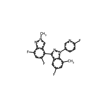 Cc1cc(F)cc2c(-c3c(F)cc(F)c4nn(C)cc34)nn(-c3ccc(F)nc3)c12